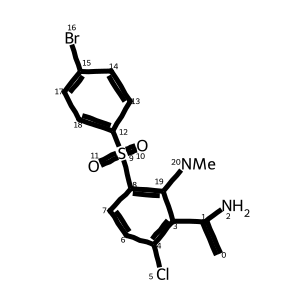 C=C(N)c1c(Cl)ccc(S(=O)(=O)c2ccc(Br)cc2)c1NC